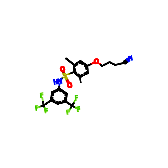 Cc1cc(OCCCC#N)cc(C)c1S(=O)(=O)Nc1cc(C(F)(F)F)cc(C(F)(F)F)c1